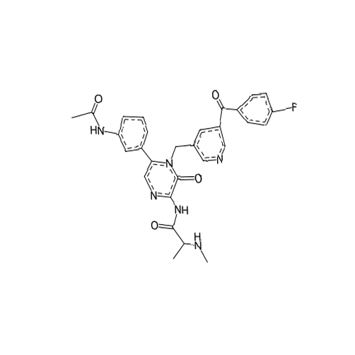 CNC(C)C(=O)Nc1ncc(-c2cccc(NC(C)=O)c2)n(Cc2cncc(C(=O)c3ccc(F)cc3)c2)c1=O